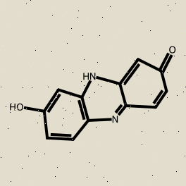 O=c1ccc2nc3ccc(O)cc3[nH]c-2c1